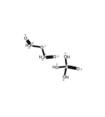 O=P(O)(O)O.O=[PH2]O[PH2]=O